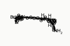 NC(=O)COCNC(=O)CNC(=O)[C@H](Cc1ccccc1)NC(=O)CNC(=O)CNC(=O)CCOCCOCCOCCOCCNC(=O)CN1C(=O)c2nc(CBr)c(CBr)nc2C1=O